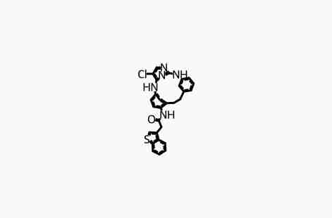 O=C(Cc1csc2ccccc12)Nc1ccc2cc1CCc1cccc(c1)Nc1ncc(Cl)c(n1)N2